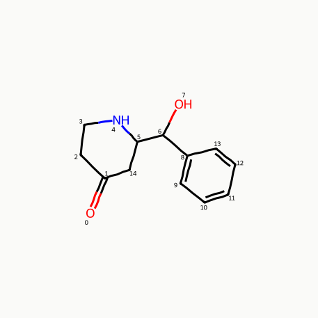 O=C1CCNC(C(O)c2ccccc2)C1